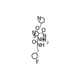 NC(=O)c1c(OCc2cccnc2)nsc1NC(=O)NCCc1cccc(F)c1